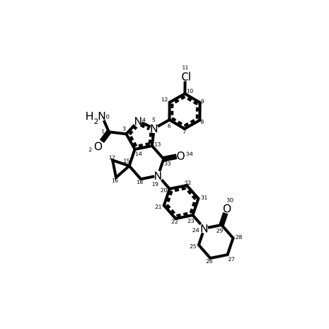 NC(=O)c1nn(-c2cccc(Cl)c2)c2c1C1(CC1)CN(c1ccc(N3CCCCC3=O)cc1)C2=O